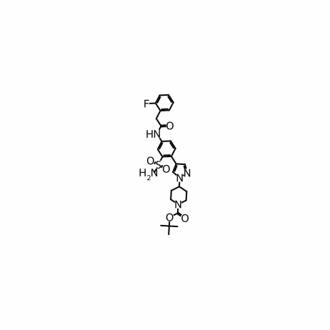 CC(C)(C)OC(=O)N1CCC(n2cc(-c3ccc(NC(=O)Cc4ccccc4F)cc3S(N)(=O)=O)cn2)CC1